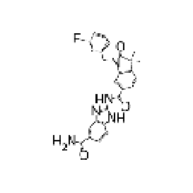 CC1(C)C(=O)N(Cc2cccc(F)c2)c2cc(C(=O)Nc3nc4cc(C(N)=O)ccc4[nH]3)ccc21